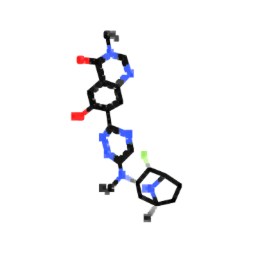 CN(c1cnc(-c2cc3ncn(C)c(=O)c3cc2O)nn1)[C@H]1C[C@@H]2CCC(N2)[C@H]1F